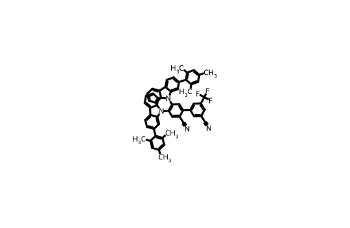 Cc1cc(C)c(-c2ccc3c4ccccc4n(-c4cc(C#N)c(-c5cc(C#N)cc(C(F)(F)F)c5)cc4-n4c5ccccc5c5ccc(-c6c(C)cc(C)cc6C)cc54)c3c2)c(C)c1